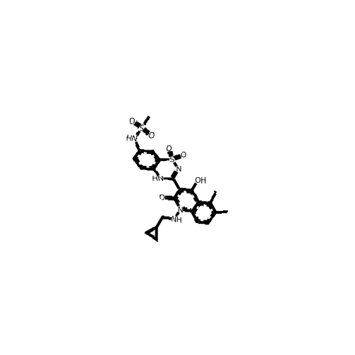 Cc1ccc2c(c1C)c(O)c(C1=NS(=O)(=O)c3cc(NS(C)(=O)=O)ccc3N1)c(=O)n2NCC1CC1